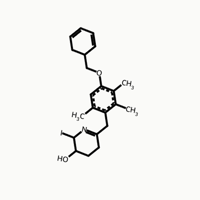 Cc1cc(OCC2C=CC=CC2)c(C)c(C)c1CC1=NC(I)C(O)CC1